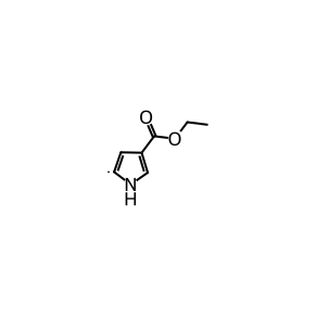 CCOC(=O)c1c[c][nH]c1